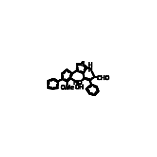 COc1c(-c2ccccc2)ccc(-c2csc3c2C(O)=C(c2ccccc2)C(C=O)N3)c1CO